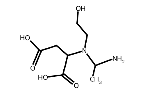 CC(N)N(CCO)C(CC(=O)O)C(=O)O